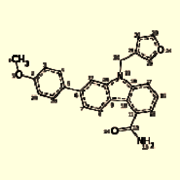 COc1ccc(-c2c[c]c3c4c(C(N)=O)cccc4n(Cc4ccoc4)c3c2)cc1